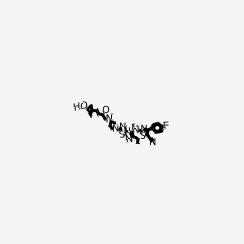 CCc1nc2sc(N3CC[C@@H](N(C)CC(=O)CCC45CC(O)C4C5)C3)nn2c1N(C)c1nc(-c2ccc(F)cc2)c(C#N)s1